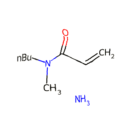 C=CC(=O)N(C)CCCC.N